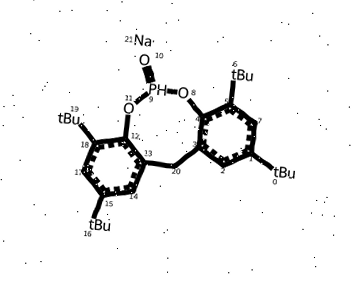 CC(C)(C)c1cc2c(c(C(C)(C)C)c1)O[PH](=O)Oc1c(cc(C(C)(C)C)cc1C(C)(C)C)C2.[Na]